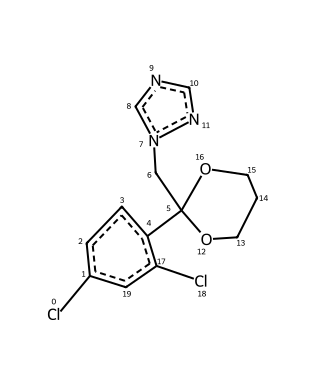 Clc1ccc(C2(Cn3cncn3)OCCCO2)c(Cl)c1